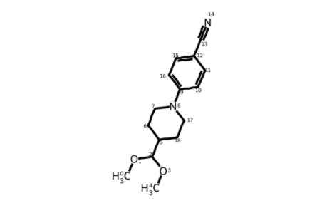 COC(OC)C1CCN(c2ccc(C#N)cc2)CC1